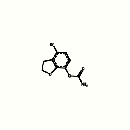 NC(=O)Oc1ccc(Br)c2c1OCC2